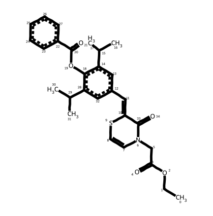 CCOC(=O)CN1C=CSC(=Cc2cc(C(C)C)c(OC(=O)c3ccccc3)c(C(C)C)c2)C1=O